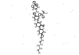 C=C(C)C(=O)Oc1cc(-c2ccc(-c3ccc(OCCCCCCCC)cc3)c(F)c2)ccc1OCC1COC(=O)OC1